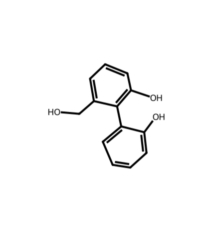 OCc1cccc(O)c1-c1ccccc1O